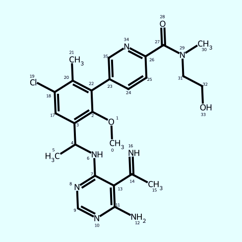 COc1c(C(C)Nc2ncnc(N)c2C(C)=N)cc(Cl)c(C)c1-c1ccc(C(=O)N(C)CCO)nc1